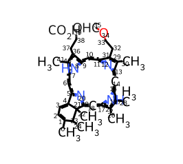 CC1=CC=C2c3cc4[nH]c(cc5nc(cc6[nH]c(cc(n3)C2(C)C1C)c(C)c6C)C(C)=C5CCOC=O)c(CCC(=O)O)c4C